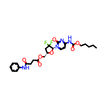 CCCCCOC(=O)Nc1ccn([C@@H]2O[C@H](COC(=O)CCC(=O)Nc3ccccc3)CC2(F)F)c(=O)n1